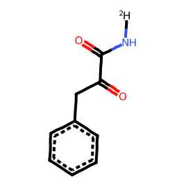 [2H]NC(=O)C(=O)Cc1ccccc1